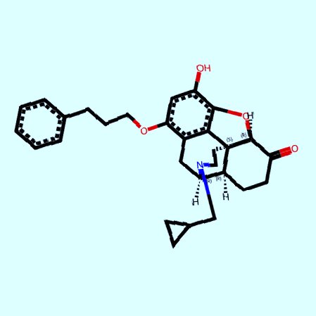 O=C1CC[C@H]2[C@H]3Cc4c(OCCCc5ccccc5)cc(O)c5c4[C@@]2(CCN3CC2CC2)[C@H]1O5